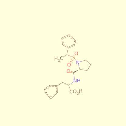 CC(c1ccccc1)S(=O)(=O)N1CCC[C@H]1C(=O)NC(Cc1ccccc1)C(=O)O